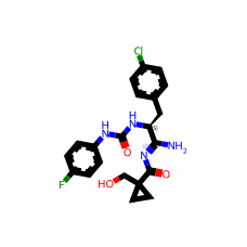 N/C(=N\C(=O)C1(CO)CC1)[C@H](Cc1ccc(Cl)cc1)NC(=O)Nc1ccc(F)cc1